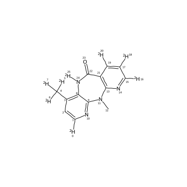 [2H]c1cc(C([2H])([2H])[2H])c2c(n1)N(C)c1nc([2H])c([2H])c([2H])c1C(=O)N2[2H]